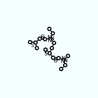 c1ccc(-c2cccc(-c3nc(-c4ccccc4)nc(-c4ccc5c(c4)oc4ccc(-c6cc(-c7ccc(-c8cccc(-c9nc(-c%10cccc(-c%11ccccc%11)c%10)nc(-c%10ccc%11c(c%10)oc%10ccc(-c%12cc(-c%13ccccc%13)c%13sc%14ccccc%14c%13c%12)cc%10%11)n9)c8)cc7)c7c(c6)sc6ccccc67)cc45)n3)c2)cc1